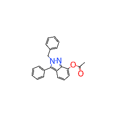 CC(=O)Oc1cccc2c(-c3ccccc3)n(Cc3ccccc3)nc12